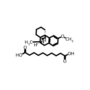 COc1ccc2c(c1)[C@]13CCCC[C@@H]1[C@H](C2)N(C)CC3.O=C(O)CCCCCCCCC(=O)O